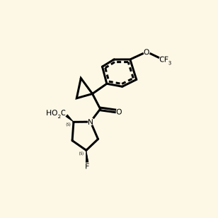 O=C(O)[C@@H]1C[C@H](F)CN1C(=O)C1(c2ccc(OC(F)(F)F)cc2)CC1